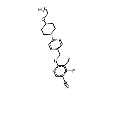 CCO[C@H]1CC[C@H](c2ccc(COc3ccc(C#N)c(F)c3F)cc2)CC1